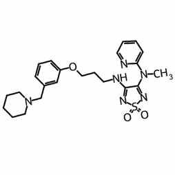 CN(C1=NS(=O)(=O)N=C1NCCCOc1cccc(CN2CCCCC2)c1)c1ccccn1